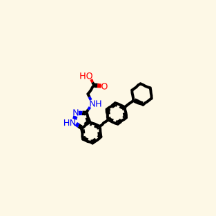 O=C(O)CNc1n[nH]c2cccc(-c3ccc(C4=CCCCC4)cc3)c12